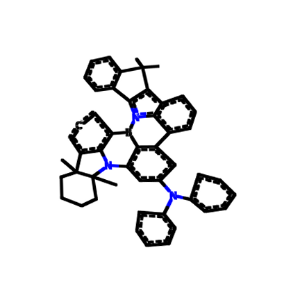 CC1(C)c2ccccc2-c2c1c1cccc3c1n2B1c2cccc4c2N(c2cc(N(c5ccccc5)c5ccccc5)cc-3c21)C1(C)CCCCC41C